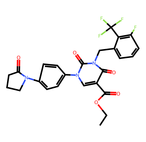 CCOC(=O)c1cn(-c2ccc(N3CCCC3=O)cc2)c(=O)n(Cc2cccc(F)c2C(F)(F)F)c1=O